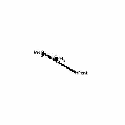 CCCCCC=CCC=CCCCCCCCCOCC(COCCCCCCC(=O)OC)N(C)C